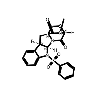 CN1C(=O)[C@]23C[C@]4(F)c5ccccc5N(S(=O)(=O)c5ccccc5)[C@@H]4N2C(=O)[C@H]1SS3